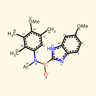 COc1ccc2nc([S+]([O-])N(C(C)=O)c3cc(C)c(OC)c(C)c3C)[nH]c2c1